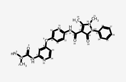 CCCN(C)C(=O)Nc1cc(Oc2ccc(NC(=O)c3c(C)n(C)n(-c4ccccc4)c3=O)nc2)ccn1